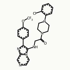 O=C(CNc1c(-c2ccc(OC(F)(F)F)cc2)nc2cnccn12)N1CCN(c2ccccc2Cl)CC1